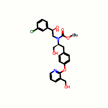 CC(C)(C)OC(=O)N(C[C@H](O)c1cccc(Cl)c1)[C@H](CO)Cc1ccc(Oc2ncccc2CO)cc1